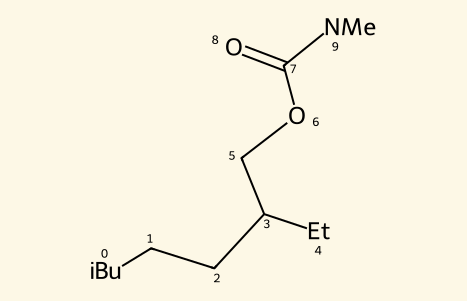 CCC(C)CCC(CC)COC(=O)NC